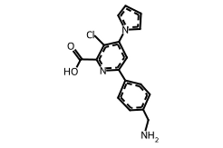 NCc1ccc(-c2cc(-n3cccc3)c(Cl)c(C(=O)O)n2)cc1